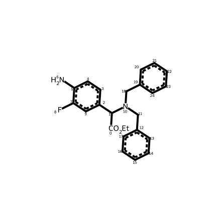 CCOC(=O)C(c1ccc(N)c(F)c1)N(Cc1ccccc1)Cc1ccccc1